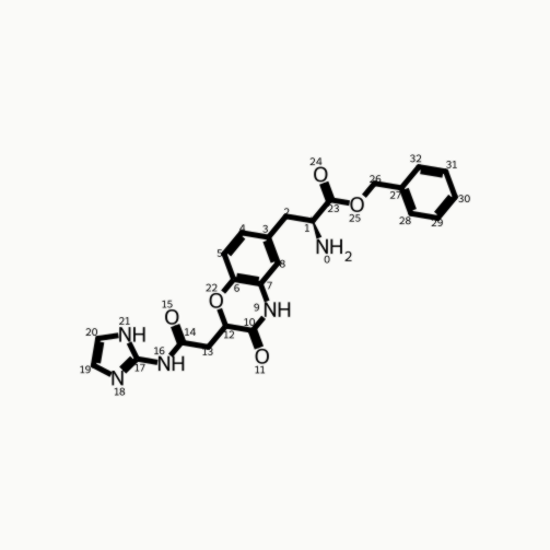 N[C@@H](Cc1ccc2c(c1)NC(=O)C(CC(=O)Nc1ncc[nH]1)O2)C(=O)OCc1ccccc1